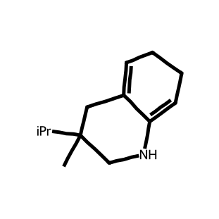 CC(C)C1(C)CNC2=CCCC=C2C1